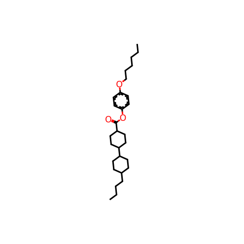 CCCCCCOc1ccc(OC(=O)C2CCC(C3CCC(CCCC)CC3)CC2)cc1